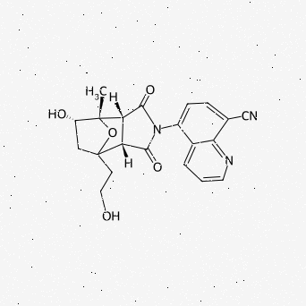 C[C@@]12OC(CCO)(C[C@@H]1O)[C@H]1C(=O)N(c3ccc(C#N)c4ncccc34)C(=O)[C@H]12